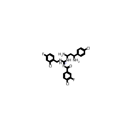 NC(CC(N)c1ccc(Cl)cc1)N/C(=N\C(=O)c1ccc(Cl)c(F)c1)NCc1ccc(F)cc1Cl